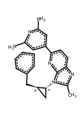 Cc1nc2ccc(-c3cc(N)nc(N)c3)nc2n1[C@@H]1C[C@H]1Cc1ccccc1